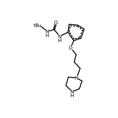 CC(C)(C)NC(=O)Nc1ccccc1OCCCN1CCNCC1